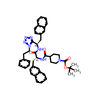 CC(C)(C)OC(=O)N1CCC(C(=O)N[C@H](Cc2ccc3ccccc3c2)C(=O)N[C@H](Cc2ccc3ccccc3c2)c2nnnn2CCc2ccccc2)CC1